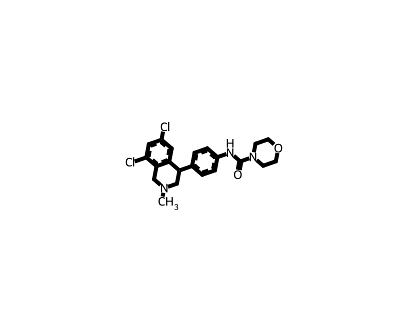 CN1Cc2c(Cl)cc(Cl)cc2C(c2ccc(NC(=O)N3CCOCC3)cc2)C1